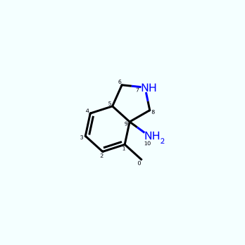 CC1=CC=CC2CNCC12N